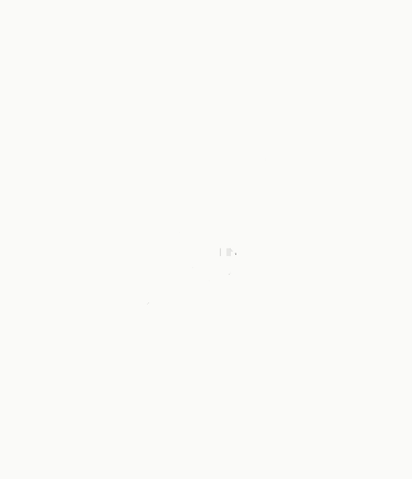 C=CC(C(=O)NCc1ccc(Cl)cc1)C1=C(CC(=C)C)CC(C)=CC1